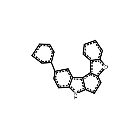 c1ccc(-c2ccc3[nH]c4ccc5oc6ccccc6c5c4c3c2)cc1